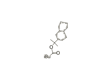 CCC(C)C(=O)OC(C)(C)c1ccc2ccccc2c1